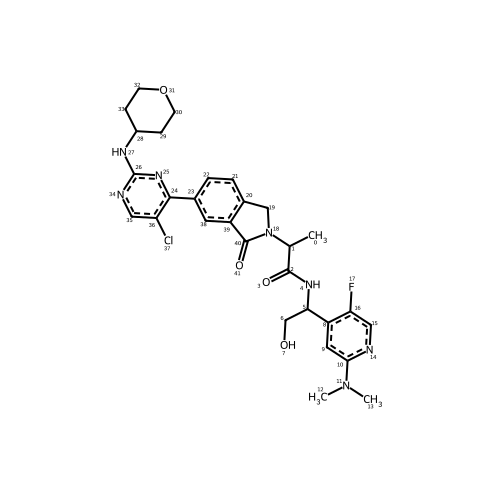 CC(C(=O)NC(CO)c1cc(N(C)C)ncc1F)N1Cc2ccc(-c3nc(NC4CCOCC4)ncc3Cl)cc2C1=O